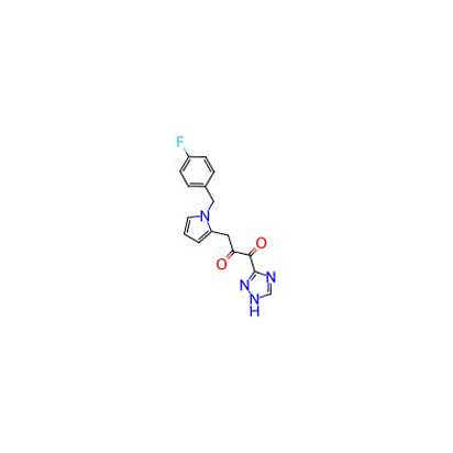 O=C(Cc1cccn1Cc1ccc(F)cc1)C(=O)c1nc[nH]n1